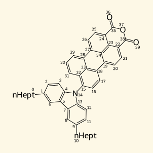 CCCCCCCc1ccc2c(c1)c1cc(CCCCCCC)ccc1n2-c1ccc2c3ccc4c5c(ccc(c6cccc1c62)c53)C(=O)OC4=O